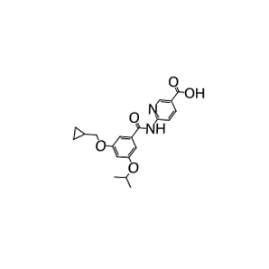 CC(C)Oc1cc(OCC2CC2)cc(C(=O)Nc2ccc(C(=O)O)cn2)c1